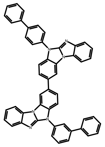 c1ccc(-c2ccc(-n3c4ccc(-c5ccc6c(c5)n5c7ccccc7nc5n6-c5cccc(-c6ccccc6)c5)cc4n4c5ccccc5nc34)cc2)cc1